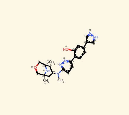 CN(c1ccc(-c2ccc(-c3cn[nH]c3)cc2O)nn1)[C@H]1C[C@]2(C)COC[C@](C)(C1)N2